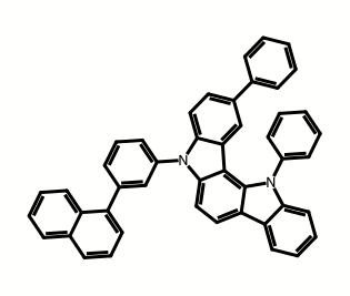 c1ccc(-c2ccc3c(c2)c2c(ccc4c5ccccc5n(-c5ccccc5)c42)n3-c2cccc(-c3cccc4ccccc34)c2)cc1